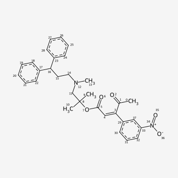 CC(=O)C(=CC(=O)OC(C)(C)CN(C)CCC(c1ccccc1)c1ccccc1)c1cccc([N+](=O)[O-])c1